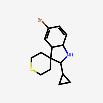 BrC1=CC2C(C=C1)NC(C1CC1)C21CCSCC1